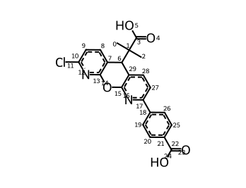 CC(C)(C(=O)O)C1c2ccc(Cl)nc2Oc2nc(-c3ccc(C(=O)O)cc3)ccc21